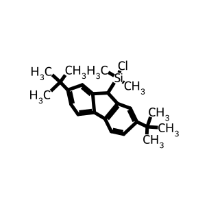 CC(C)(C)c1ccc2c(c1)C([Si](C)(C)Cl)c1cc(C(C)(C)C)ccc1-2